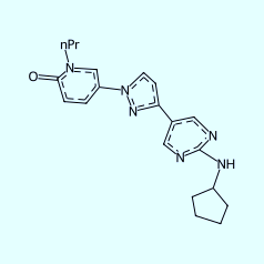 CCCn1cc(-n2ccc(-c3cnc(NC4CCCC4)nc3)n2)ccc1=O